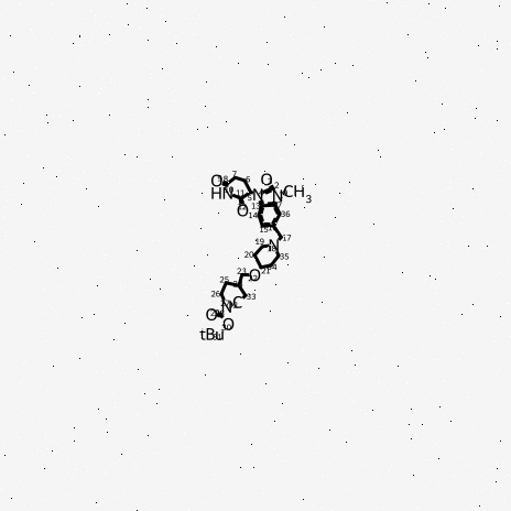 Cn1c(=O)n(C2CCC(=O)NC2=O)c2ccc(CN3CCC(OCC4CCN(C(=O)OC(C)(C)C)CC4)CC3)cc21